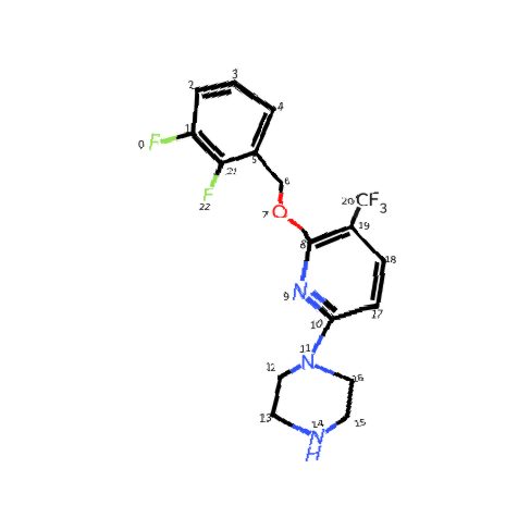 Fc1cccc(COc2nc(N3CCNCC3)ccc2C(F)(F)F)c1F